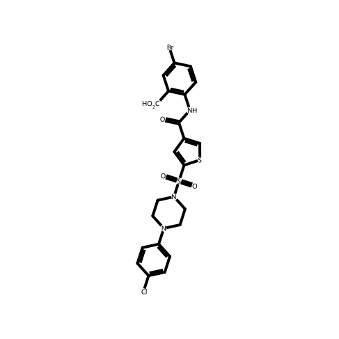 O=C(Nc1ccc(Br)cc1C(=O)O)c1csc(S(=O)(=O)N2CCN(c3ccc(Cl)cc3)CC2)c1